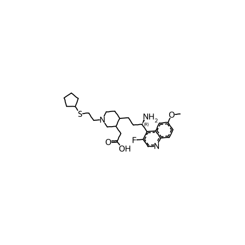 COc1ccc2ncc(F)c([C@H](N)CCC3CCN(CCSC4CCCC4)CC3CC(=O)O)c2c1